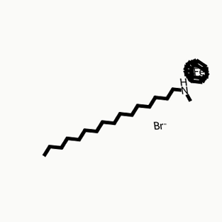 CCCCCCCCCCCCCCCC[NH+](C)[C]12[CH]3[CH]4[CH]5[CH]1[Fe]45321678[CH]2[CH]1[CH]6[CH]7[CH]28.[Br-]